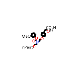 CCCCCOCCN(CCOc1ccc(CC(OCC)C(=O)O)cc1)C(=O)Oc1cccc(OC)c1